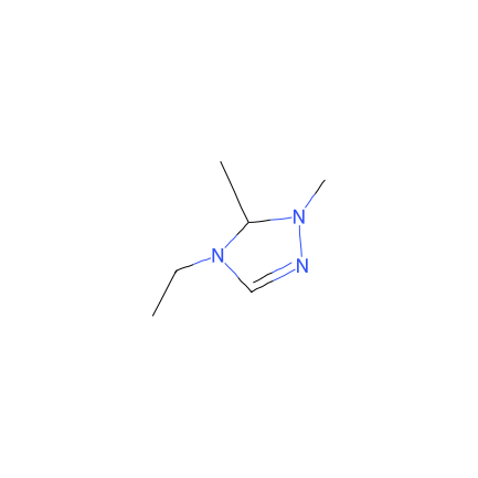 CCN1C=NN(C)C1C